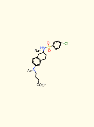 CC(=O)N(CCCC(=O)[O-])c1ccc2c(c1)CCC(NS(=O)(=O)c1ccc(Cl)cc1)C2.[Na+]